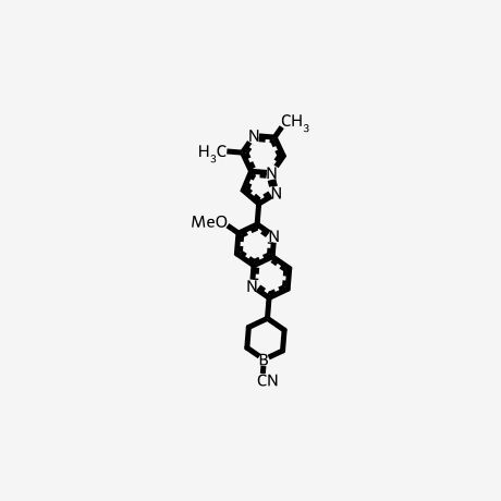 COc1cc2nc(C3CCB(C#N)CC3)ccc2nc1-c1cc2c(C)nc(C)cn2n1